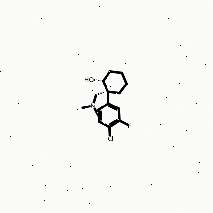 CN(C)C[C@@]1(c2ccc(Cl)c(F)c2)CCCC[C@H]1O